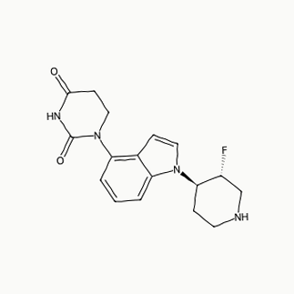 O=C1CCN(c2cccc3c2ccn3[C@@H]2CCNC[C@H]2F)C(=O)N1